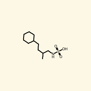 CC(CCC1CCCCC1)CNS(=O)(=O)O